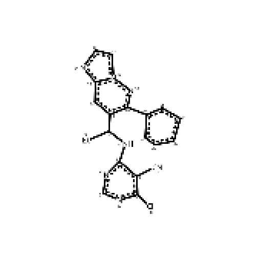 CCC(Nc1ncnc(Cl)c1C#N)c1cc2nccn2nc1-c1ccccc1